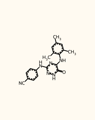 Cc1cc(C)c(Nc2nc(Nc3ccc(C#N)cc3)n[nH]c2=O)c(C)c1